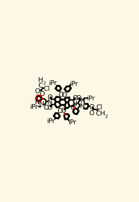 C=C(Cl)C(=O)Oc1ccnc(N(CC(C)C)C(=O)C(Cc2ccccc2)N2C(=O)c3cc(Oc4ccc(C(C)C)cc4)c4c5c(Oc6ccc(C(C)C)cc6)cc6c7c(cc(Oc8ccc(C(C)C)cc8)c(c8c(Oc9ccc(C(C)C)cc9)cc(c3c48)C2=O)c75)C(=O)N(C(Cc2ccccc2)C(=O)N(CC(C)C)c2cc(OC(=O)C(=C)Cl)ccn2)C6=O)c1